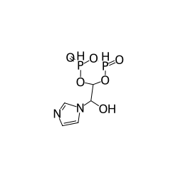 O=[PH]1OC(C(O)n2ccnc2)O[PH](=O)O1